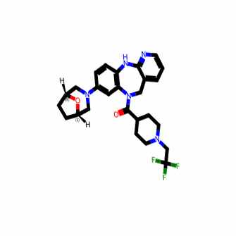 O=C(C1CCN(CC(F)(F)F)CC1)N1Cc2cccnc2Nc2ccc(N3C[C@H]4CC[C@@H](C3)O4)cc21